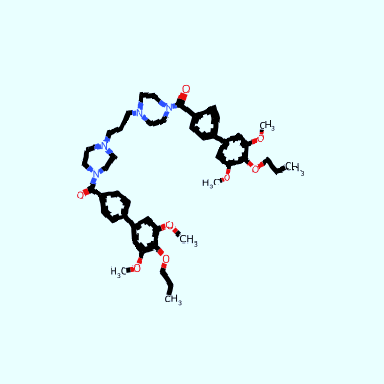 CCCOc1c(OC)cc(-c2ccc(C(=O)N3CCN(CCCN4CCN(C(=O)c5ccc(-c6cc(OC)c(OCCC)c(OC)c6)cc5)CC4)CC3)cc2)cc1OC